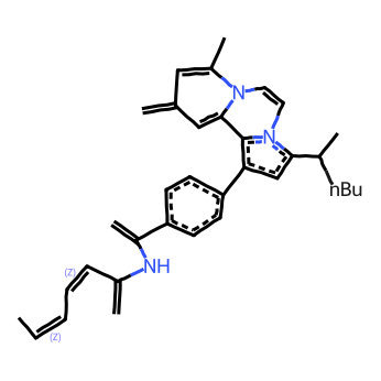 C=C1C=C(C)N2C=Cn3c(C(C)CCCC)cc(-c4ccc(C(=C)NC(=C)/C=C\C=C/C)cc4)c3C2=C1